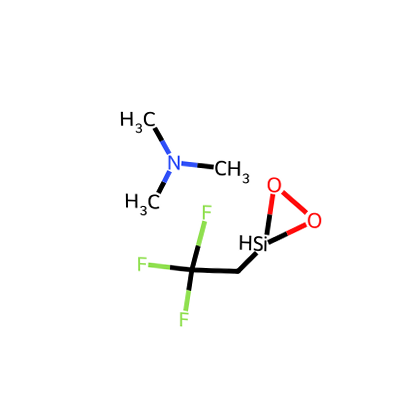 CN(C)C.FC(F)(F)C[SiH]1OO1